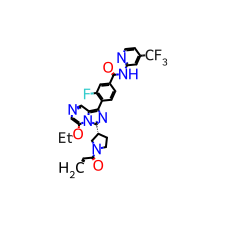 C=CC(=O)N1CC[C@@H](c2nc(-c3ccc(C(=O)Nc4cc(C(F)(F)F)ccn4)cc3F)c3cncc(OCC)n23)C1